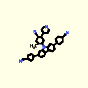 Cc1cc(C#N)c(-c2ccncc2)cc1-n1c2cc(-c3ccc(C#N)cc3)ccc2c2ccc(-c3ccc(C#N)cc3)cc21